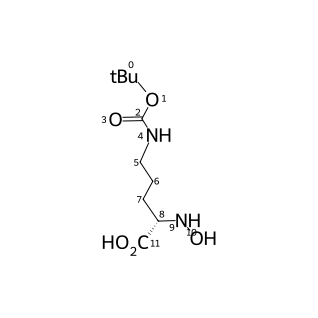 CC(C)(C)OC(=O)NCCC[C@H](NO)C(=O)O